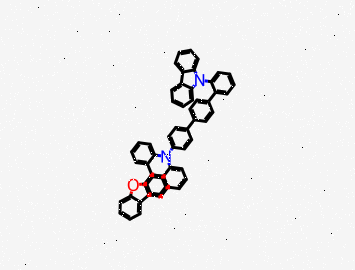 c1ccc(N(c2ccc(-c3ccc(-c4ccccc4-n4c5ccccc5c5ccccc54)cc3)cc2)c2cccc3ccccc23)c(-c2cccc3c2oc2ccccc23)c1